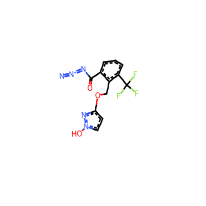 [N-]=[N+]=NC(=O)c1cccc(C(F)(F)F)c1COc1ccn(O)n1